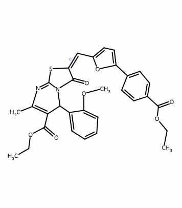 CCOC(=O)C1=C(C)N=c2s/c(=C/c3ccc(-c4ccc(C(=O)OCC)cc4)o3)c(=O)n2C1c1ccccc1OC